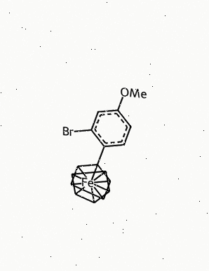 COc1ccc([C]23[CH]4[CH]5[CH]6[CH]2[Fe]56432789[CH]3[CH]2[CH]7[CH]8[CH]39)c(Br)c1